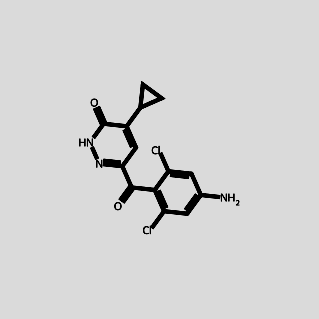 Nc1cc(Cl)c(C(=O)c2cc(C3CC3)c(=O)[nH]n2)c(Cl)c1